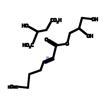 CCCCCCCCCCCCC/C=C/C(=O)OCC(O)CO.O=C(O)CC(O)C(=O)O